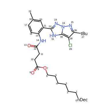 CCCCCCCCCCCCCCCCOC(=O)CCC(=O)Nc1ccc(C)cc1-c1nn2nc(C(C)(C)C)c(Cl)c2[nH]1